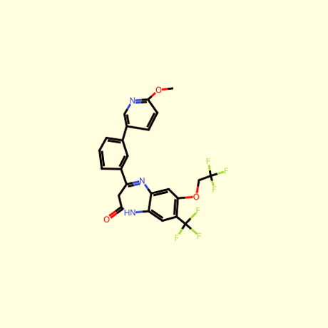 COc1ccc(-c2cccc(C3=Nc4cc(OCC(F)(F)F)c(C(F)(F)F)cc4NC(=O)C3)c2)cn1